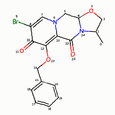 CC1COC2Cn3cc(Br)c(=O)c(OCc4ccccc4)c3C(=O)N12